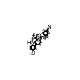 COc1ccc2[nH]c3c(c2c1)CCN(C(=O)Nc1ccc(C#N)cc1)C3C(F)(F)F